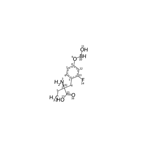 CC[C@](N)(Cc1ccc(OBO)cc1F)C(=O)O